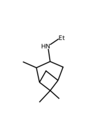 CCNC1CC2CC(C1C)C2(C)C